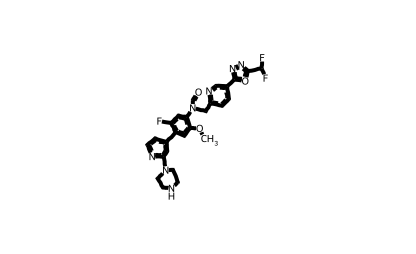 COc1cc(-c2ccnc(N3CCNCC3)c2)c(F)cc1N(C=O)Cc1ccc(-c2nnc(C(F)F)o2)cn1